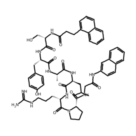 CC(C)C[C@H](NC(=O)[C@H](C)NC(=O)[C@H](Cc1ccc(O)cc1)NC(=O)[C@H](CO)NC(=O)CCc1cccc2ccccc12)C(=O)N[C@@H](CCCNC(=N)N)C(=O)N1CCC[C@H]1C(=O)NCC(=O)Nc1ccc2ccccc2c1